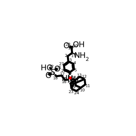 N[C@@H](Cc1ccc(NC23CC4CC(C2)C(NCCCS(=O)(=O)O)C(C4)C3)cc1)C(=O)O